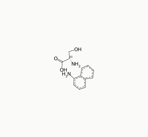 N[C@@H](CO)C(=O)O.Nc1cccc2ccccc12